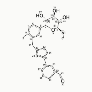 CS[C@H]1OC(c2ccc(C)c(Cc3ccc(-c4cccc(C=O)c4)s3)c2)[C@H](O)[C@@H](O)[C@@H]1O